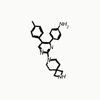 Cc1ccc(-c2cnc(N3CCC4(CC3)CNC4)nc2-c2ccc(N)cc2)cc1